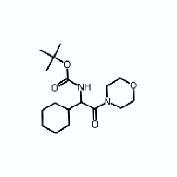 CC(C)(C)OC(=O)NC(C(=O)N1CCOCC1)C1CCCCC1